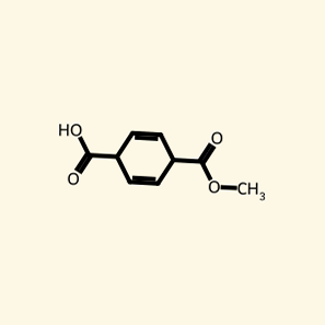 COC(=O)C1C=CC(C(=O)O)C=C1